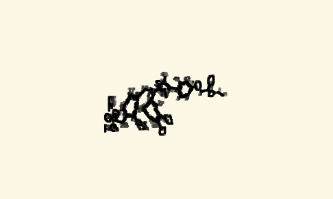 CCOC(=O)COc1ccc(-c2nc(N(Cc3ccc(CP(=O)(OF)OF)c(Br)c3)c3ccc(Cl)c(Cl)c3)sc2C)cc1